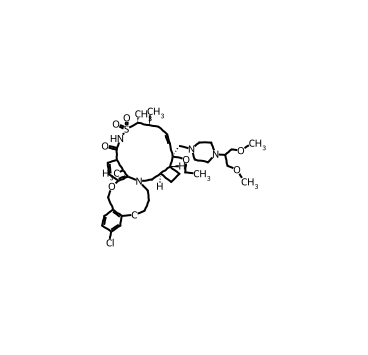 CCO[C@]1(CN2CCN(C(COC)COC)CC2)/C=C/C[C@H](C)[C@@H](C)S(=O)(=O)NC(=O)C2C=CC3=C(C2C)N(CCCCc2cc(Cl)ccc2CO3)C[C@@H]2CC[C@H]21